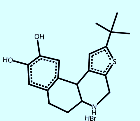 Br.CC(C)(C)c1cc2c(s1)CNC1CCc3cc(O)c(O)cc3C21